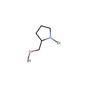 CCN1CCCC1COC(C)C